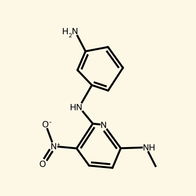 CNc1ccc([N+](=O)[O-])c(Nc2cccc(N)c2)n1